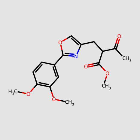 COC(=O)C(Cc1coc(-c2ccc(OC)c(OC)c2)n1)C(C)=O